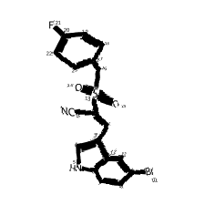 N#C/C(=C\c1c[nH]c2ccc(Br)cc12)S(=O)(=O)Cc1ccc(F)cc1